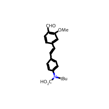 COc1cc(/C=C/c2ccc(N(C(=O)O)C(C)(C)C)cc2)ccc1C=O